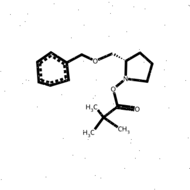 CC(C)(C)C(=O)ON1CCC[C@H]1COCc1ccccc1